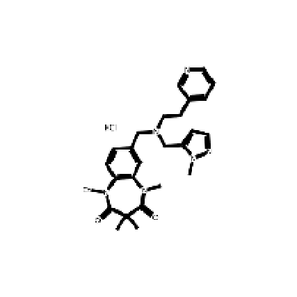 CCN1C(=O)C(C)(C)C(=O)N(C)c2cc(CN(CCc3cccnc3)Cc3ccnn3C)ccc21.Cl